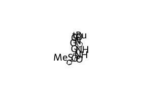 CSCCC(NC(=O)OCc1ccccc1)C(=O)NC1CCC2CC1C(=O)N2C(=O)OC(C)(C)C